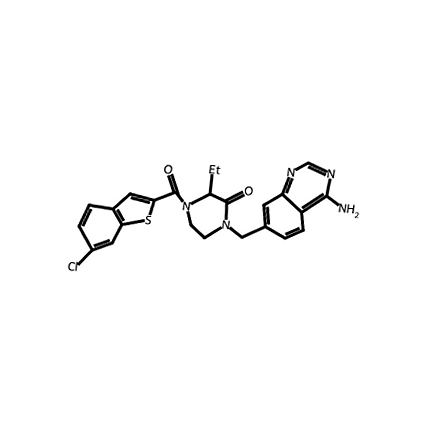 CCC1C(=O)N(Cc2ccc3c(N)ncnc3c2)CCN1C(=O)c1cc2ccc(Cl)cc2s1